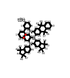 Cc1cc2c3c(c1)N(c1ccc(C(C)(C)C)cc1-c1ccccc1)c1cc4c(cc1B3c1cc3c(cc1N2c1ccc2c(c1)C(C)(C)CC2(C)C)C(C)(C)CC3(C)C)C(C)(C)c1ccccc1C4(C)C